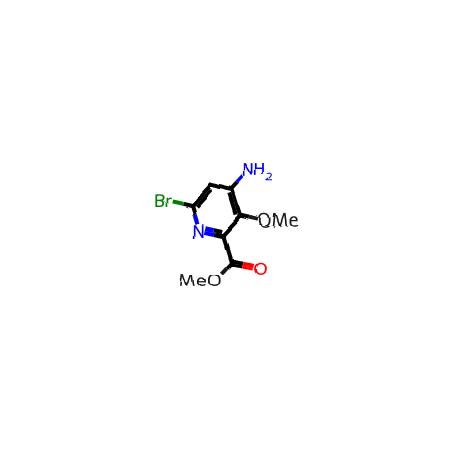 COC(=O)c1nc(Br)cc(N)c1OC